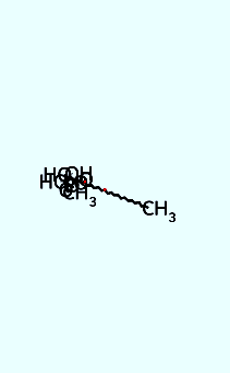 CCCCCCCCCCCCCCCCCCCC(=O)OC[C@H]1OC(OC)[C@H](O)[C@@H](O)[C@@H]1O